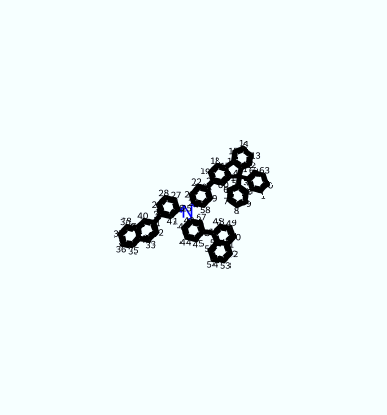 c1ccc(C2(c3ccccc3)c3ccccc3-c3ccc(-c4ccc(N(c5cccc(-c6ccc7ccccc7c6)c5)c5cccc(-c6cccc7ccccc67)c5)cc4)cc32)cc1